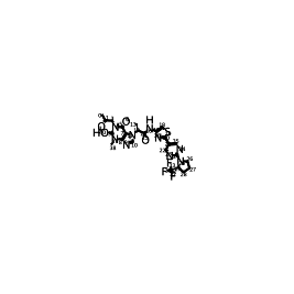 CC(=O)CN1C(=O)c2c(ncn2[C@@H](C)C(=O)Nc2csc(-c3cnc(N4CCC[C@H]4C(F)(F)F)nc3)n2)N(C)C1O